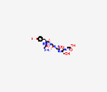 NCC(=O)N[C@@H](Cc1ccc(O)cc1)C(=O)NCC(=O)NCC(=O)N[C@@H](CO)C(=O)NCC(=O)O